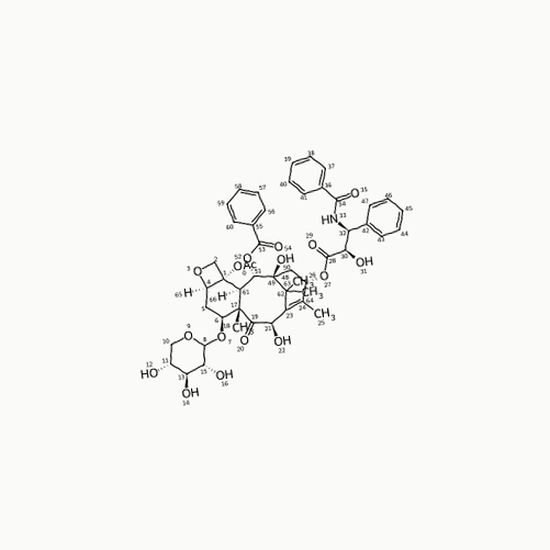 CC(=O)O[C@@]12CO[C@@H]1C[C@H](OC1OC[C@@H](O)[C@H](O)[C@H]1O)[C@@]1(C)C(=O)[C@H](O)C3=C(C)[C@@H](OC(=O)[C@H](O)[C@@H](NC(=O)c4ccccc4)c4ccccc4)C[C@@](O)([C@@H](OC(=O)c4ccccc4)[C@H]21)C3(C)C